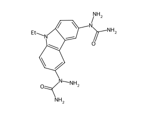 CCn1c2ccc(N(N)C(N)=O)cc2c2cc(N(N)C(N)=O)ccc21